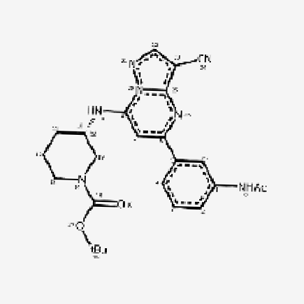 CC(=O)Nc1cccc(-c2cc(N[C@H]3CCCN(C(=O)OC(C)(C)C)C3)n3ncc(C#N)c3n2)c1